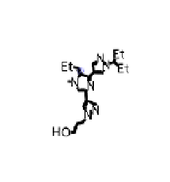 CC/C=C1/C(c2cnn(C(CC)CC)c2)=NC(c2cnn(CCCO)c2)=CN1C